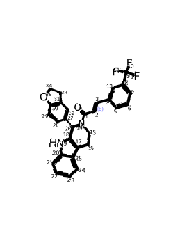 O=C(/C=C/c1cccc(C(F)(F)F)c1)N1CCc2c([nH]c3ccccc23)[C@H]1c1ccc2c(c1)CCO2